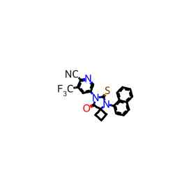 N#Cc1ncc(N2C(=O)C3(CCC3)N(c3cccc4ccccc34)C2=S)cc1C(F)(F)F